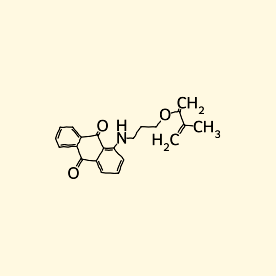 C=C(C)C(=C)OCCCNc1cccc2c1C(=O)c1ccccc1C2=O